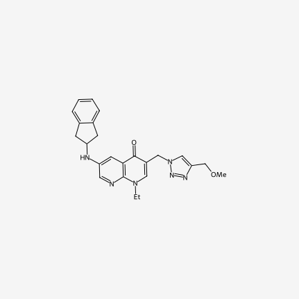 CCn1cc(Cn2cc(COC)nn2)c(=O)c2cc(NC3Cc4ccccc4C3)cnc21